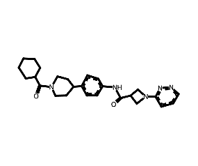 O=C(Nc1ccc(C2CCN(C(=O)C3CCCCC3)CC2)cc1)C1CN(c2cccnn2)C1